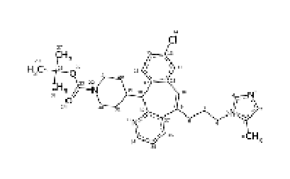 Cc1cncn1CCCC1=Cc2cc(Cl)ccc2C(C2CCN(C(=O)OC(C)(C)C)CC2)c2ncccc21